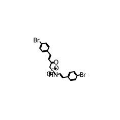 O=C(C=Cc1ccc(Br)cc1)CS(=O)(=O)NC=Cc1ccc(Br)cc1